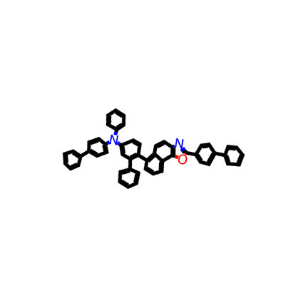 c1ccc(-c2ccc(-c3nc4ccc5c(-c6ccc(N(c7ccccc7)c7ccc(-c8ccccc8)cc7)cc6-c6ccccc6)cccc5c4o3)cc2)cc1